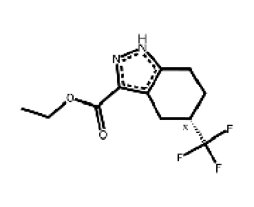 CCOC(=O)c1n[nH]c2c1C[C@@H](C(F)(F)F)CC2